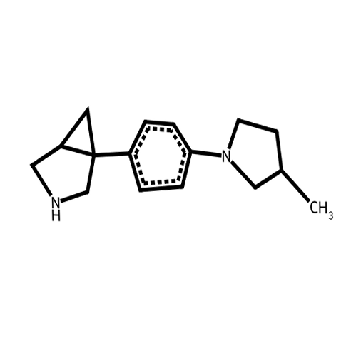 CC1CCN(c2ccc(C34CNCC3C4)cc2)C1